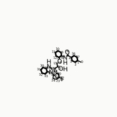 Cc1ccc(C(=O)Nc2ccccc2OCC(O)CN2CC(F)C3CC2(N2CNc4ccccc42)O3)cc1